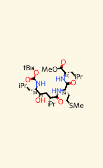 COC(=O)[C@H](CC(C)C)NC(=O)[C@H](CCSC)NC(=O)[C@@H](C[C@@H](O)[C@H](CC(C)C)NC(=O)OC(C)(C)C)C(C)C